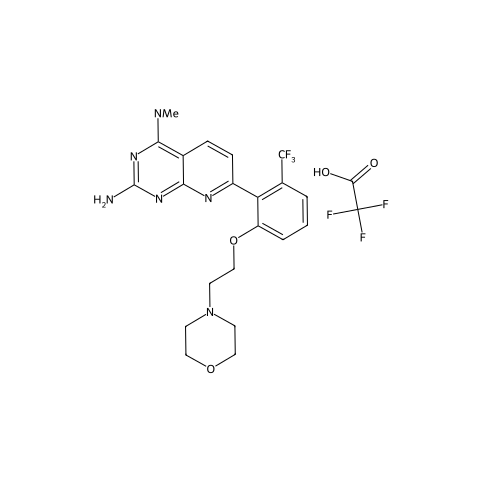 CNc1nc(N)nc2nc(-c3c(OCCN4CCOCC4)cccc3C(F)(F)F)ccc12.O=C(O)C(F)(F)F